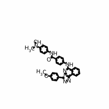 COc1ccc(-c2nnc3c4ccccc4c(Nc4ccc(C(=O)Nc5ccc(N(C)C)cc5)cc4)nn23)cc1